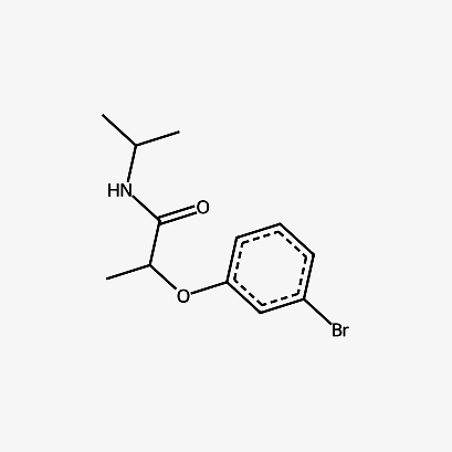 CC(C)NC(=O)C(C)Oc1cccc(Br)c1